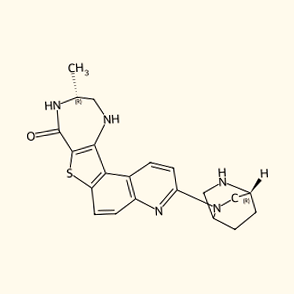 C[C@@H]1CNc2c(sc3ccc4nc(N5C[C@H]6CCC5CN6)ccc4c23)C(=O)N1